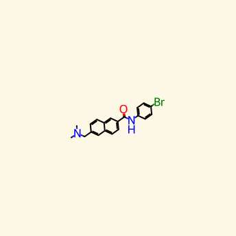 CN(C)Cc1ccc2cc(C(=O)Nc3ccc(Br)cc3)ccc2c1